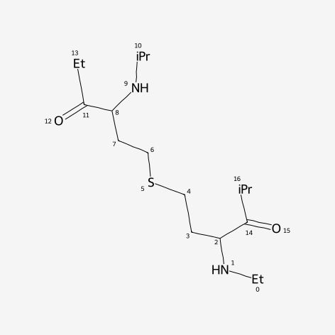 CCNC(CCSCCC(NC(C)C)C(=O)CC)C(=O)C(C)C